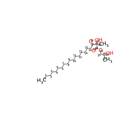 CCCCCCCCCCCCCCCCCC(=O)C(C)(O)C(=O)OCC(C)O